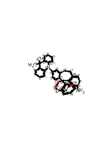 CC1(C)c2ccccc2N(c2ccc3c(c2)CCc2ccc(N)c(N)c2C32c3ccccc3Oc3ccccc32)c2ccccc21